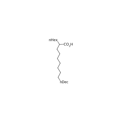 CCCCCCCCCCCCCCCCCC(CCCCCC)C(=O)O